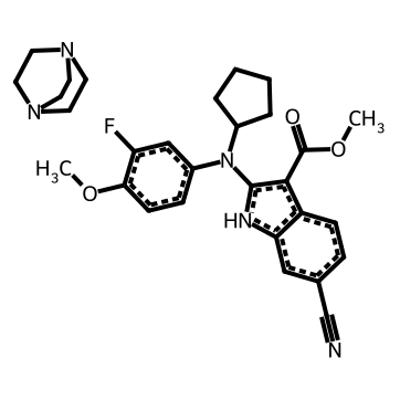 C1CN2CCN1CC2.COC(=O)c1c(N(c2ccc(OC)c(F)c2)C2CCCC2)[nH]c2cc(C#N)ccc12